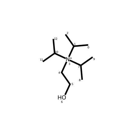 CC(C)[N+](CCO)(C(C)C)C(C)C